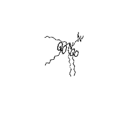 CCCCCCCCC(CN(CCCN(CC)CC)CC(CCCCCCCC)OC(=O)CCCCCCC)OC(=O)CCCCCCC